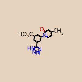 Cc1ccn(-c2cc(C(=O)O)cc(-c3nnn[nH]3)c2)c(=O)c1